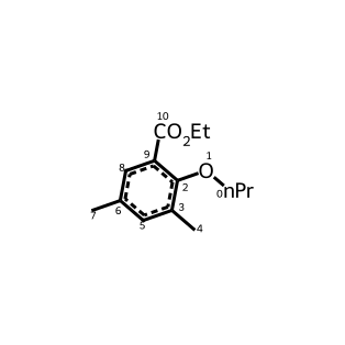 CCCOc1c(C)cc(C)cc1C(=O)OCC